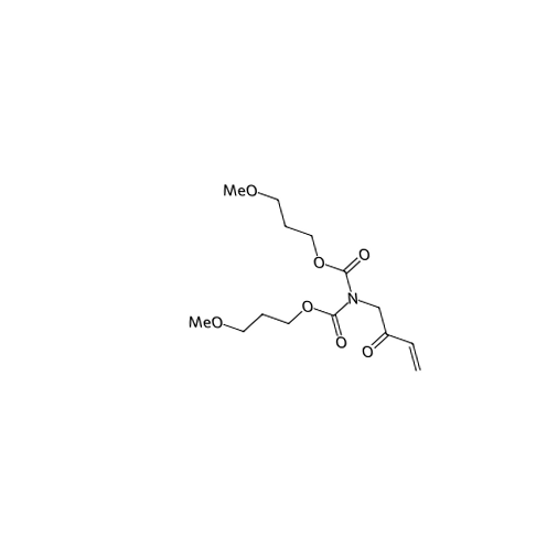 C=CC(=O)CN(C(=O)OCCCOC)C(=O)OCCCOC